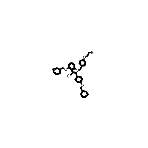 Clc1c(-c2ccc(OCc3ccccc3)cc2)n(Cc2ccc(OCCBr)cc2)c2cccc(OCc3ccccc3)c12